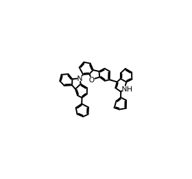 C1=C(c2ccc3c(c2)oc2c(-n4c5ccccc5c5cc(-c6ccccc6)ccc54)cccc23)c2ccccc2NC1c1ccccc1